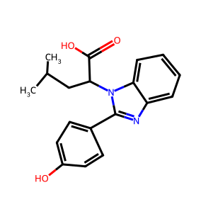 CC(C)CC(C(=O)O)n1c(-c2ccc(O)cc2)nc2ccccc21